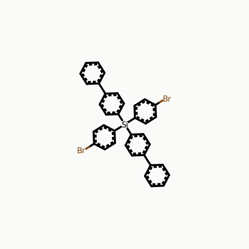 Brc1ccc([Si](c2ccc(Br)cc2)(c2ccc(-c3ccccc3)cc2)c2ccc(-c3ccccc3)cc2)cc1